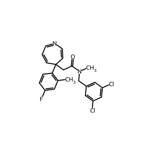 Cc1cc(F)ccc1C1(CC(=O)N(C)Cc2cc(Cl)cc(Cl)c2)C=CC=NC=C1